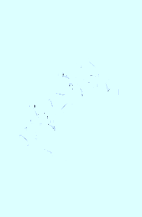 C=CCC12C=CC(C1)C1C(=O)N(c3ccc(N4C(=O)C5C6C=CC(CC=C)(C6)C5C4=O)cc3)C(=O)C12